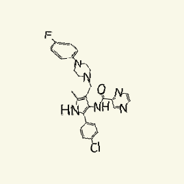 Cc1[nH]c(-c2ccc(Cl)cc2)c(NC(=O)c2cnccn2)c1CN1CCN(c2ccc(F)cc2)CC1